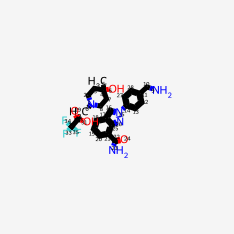 CN1CCC(C)(O)CC1.NCc1ccc(-n2cc3cccc(C(N)=O)c3n2)cc1.O=C(O)C(F)(F)F